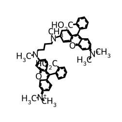 CN(CCCCN(C)C1C=c2oc3cc(=[N+](C)C)ccc-3c(-c3ccccc3C(=O)O)c2=CC1)c1ccc2c(-c3ccccc3C(=O)O)c3ccc(=[N+](C)C)cc-3oc2c1